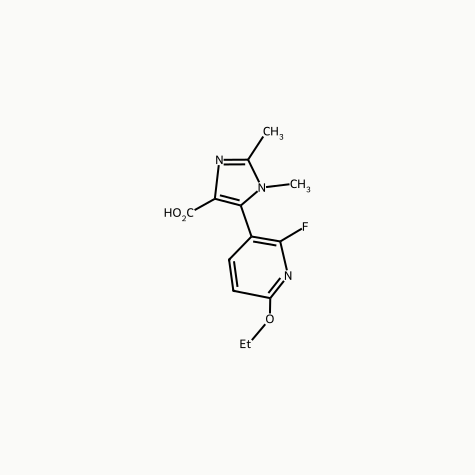 CCOc1ccc(-c2c(C(=O)O)nc(C)n2C)c(F)n1